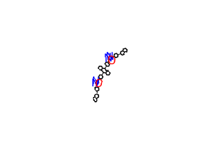 c1ccc2cc(-c3ccc(-c4nnc(-c5ccc(-c6c7ccccc7c(-c7ccc(-c8nnc(-c9ccc(-c%10ccc%11ccccc%11c%10)cc9)o8)cc7)c7ccccc67)cc5)o4)cc3)ccc2c1